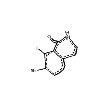 O=c1[nH]ccc2ccc(Br)c(F)c12